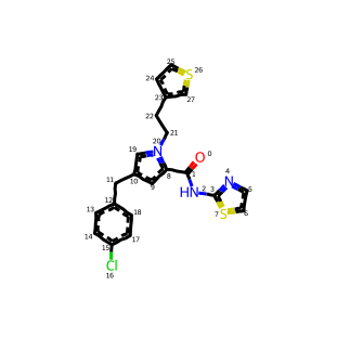 O=C(Nc1nccs1)c1cc(Cc2ccc(Cl)cc2)cn1CCc1ccsc1